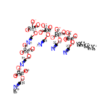 N#C[O][Re](=[O])(=[O])[O-].N#C[O][Re](=[O])(=[O])[O-].N#C[O][Re](=[O])(=[O])[O-].N#C[O][Re](=[O])(=[O])[O-].N#C[O][Re](=[O])(=[O])[O-].N#C[O][Re](=[O])(=[O])[O-].[K+].[K+].[K+].[K+].[K+].[K+]